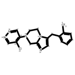 FC(F)(F)c1ccccc1Cc1cnc2n1CCN(c1cnncc1Cl)C2